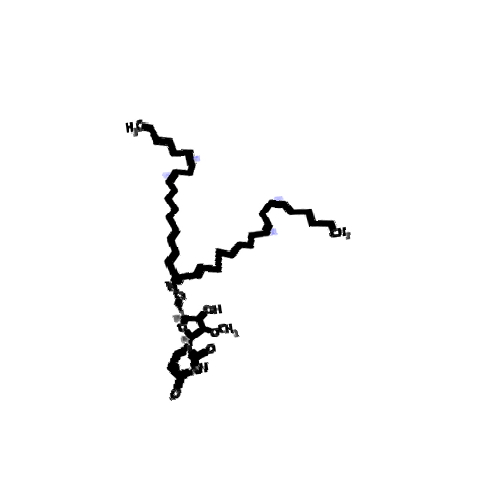 CCCCC/C=C\C/C=C\CCCCCCCCC(CCCCCCCC/C=C\C/C=C\CCCCC)=NOC[C@H]1O[C@@H](n2ccc(=O)[nH]c2=O)C(OC)C1O